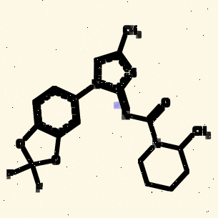 Cc1cn(-c2ccc3c(c2)OC(F)(F)O3)/c(=N/C(=O)N2CCCCC2C)s1